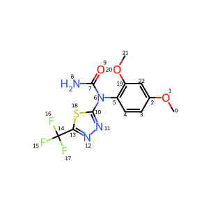 COc1ccc(N(C(N)=O)c2nnc(C(F)(F)F)s2)c(OC)c1